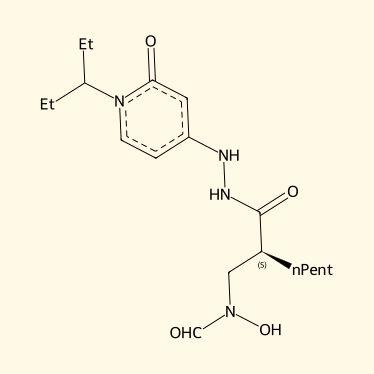 CCCCC[C@@H](CN(O)C=O)C(=O)NNc1ccn(C(CC)CC)c(=O)c1